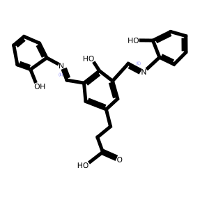 O=C(O)CCc1cc(/C=N/c2ccccc2O)c(O)c(/C=N/c2ccccc2O)c1